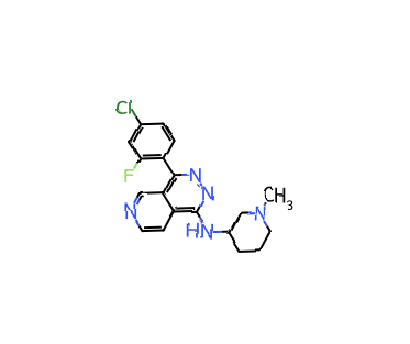 CN1CCCC(Nc2nnc(-c3ccc(Cl)cc3F)c3cnccc23)C1